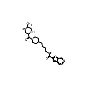 CC1CNC(C(=O)N2CCC(CCCCNC(=O)c3cc4ccncc4s3)CC2)CN1